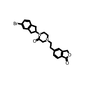 O=C1OCc2cc(CCN3CCN(C4Cc5ccc(Br)cc5C4)C(=O)C3)ccc21